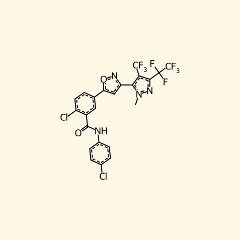 Cn1nc(C(F)(F)C(F)(F)F)c(C(F)(F)F)c1-c1cc(-c2ccc(Cl)c(C(=O)Nc3ccc(Cl)cc3)c2)on1